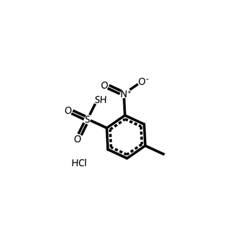 Cc1ccc(S(=O)(=O)S)c([N+](=O)[O-])c1.Cl